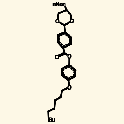 CCCCCCCCCC1COC(c2ccc(C(=O)Oc3ccc(OCCCCCC(C)CC)cc3)cc2)OC1